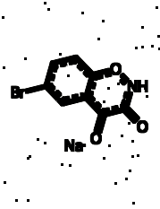 O=c1[nH]oc2ccc(Br)cc2c1=O.[Na]